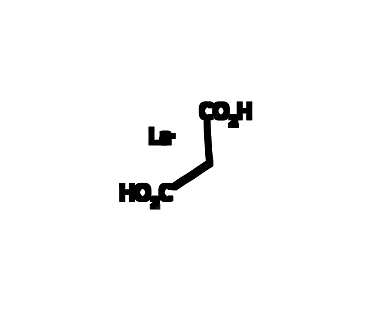 O=C(O)CC(=O)O.[La]